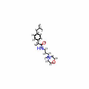 CC(C)Cc1ccc(C(C)C(=O)NCCC[N+]2(C)CCOCC2)cc1